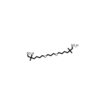 CC(C)(CCCCOCCCOCCCCC(C)(C)CS(=O)(=O)O)CS(=O)(=O)O